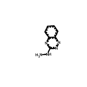 NNc1nnc2ccccc2n1